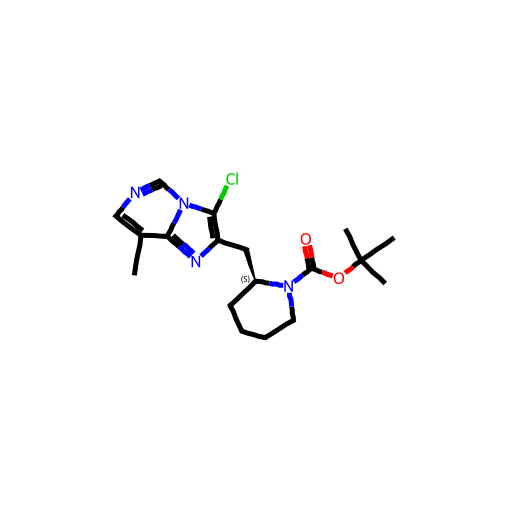 Cc1cncn2c(Cl)c(C[C@@H]3CCCCN3C(=O)OC(C)(C)C)nc12